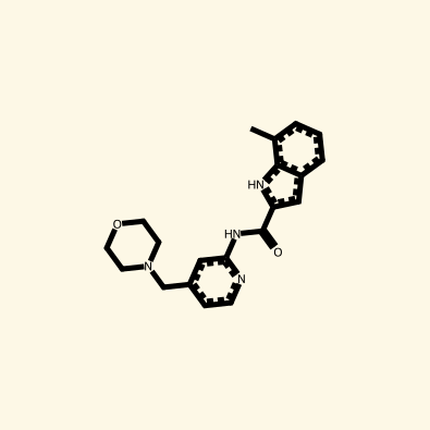 Cc1cccc2cc(C(=O)Nc3cc(CN4CCOCC4)ccn3)[nH]c12